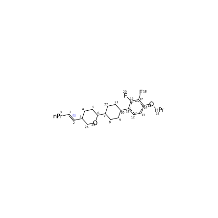 CCC/C=C/C1CCC(C2CCC(c3ccc(OCCC)c(F)c3F)CC2)OC1